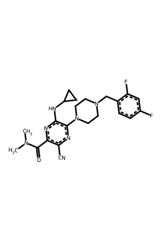 CN(C)C(=O)c1nc(NC2CC2)c(N2CCN(Cc3ccc(F)cc3F)CC2)nc1C#N